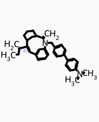 C=C(CC)/C1=C/c2cccc(c2)N(Cc2ccc(-c3ccc(N(C)C)cc3)cc2)C(=C)C2CCCC1C2